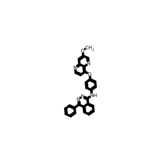 COc1cnc2c(Oc3ccc(Nc4nnc(-c5ccccc5)c5ccccc45)cc3)ccnc2c1